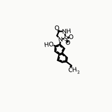 C=Cc1ccc2cc(O)c(N3CC(=O)NS3(=O)=O)cc2c1